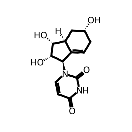 O=c1ccn([C@@H]2C3=CC[C@@H](O)C[C@@H]3[C@@H](O)[C@H]2O)c(=O)[nH]1